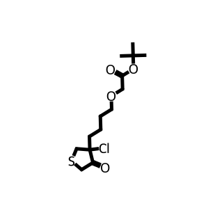 CC(C)(C)OC(=O)COCCCCC1(Cl)CSCC1=O